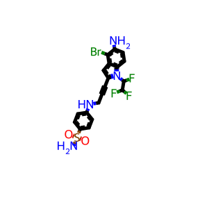 Nc1ccc2c(cc(C#CCNc3ccc(S(N)(=O)=O)cc3)n2C(F)C(F)F)c1Br